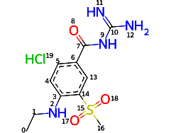 CCNc1ccc(C(=O)NC(=N)N)cc1S(C)(=O)=O.Cl